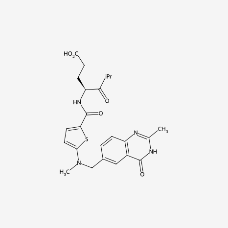 Cc1nc2ccc(CN(C)c3ccc(C(=O)N[C@@H](CCC(=O)O)C(=O)C(C)C)s3)cc2c(=O)[nH]1